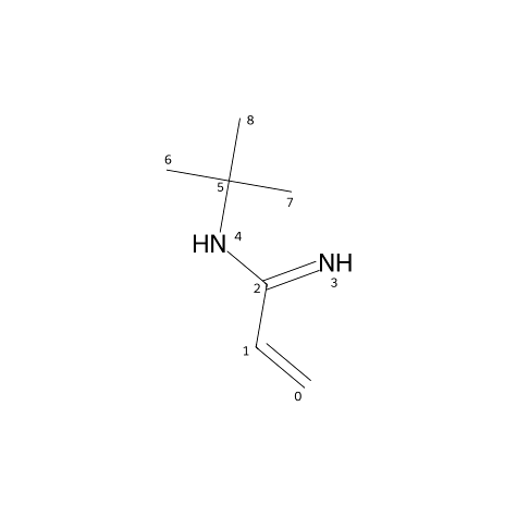 C=CC(=N)NC(C)(C)C